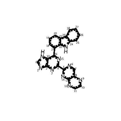 [c]1nc2nc(-c3ncc4nccnc4n3)nc(-c3cccc4c3[nH]c3ccccc34)c2[nH]1